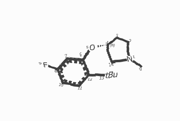 CN1CC[C@@H](Oc2cc(F)ccc2C(C)(C)C)C1